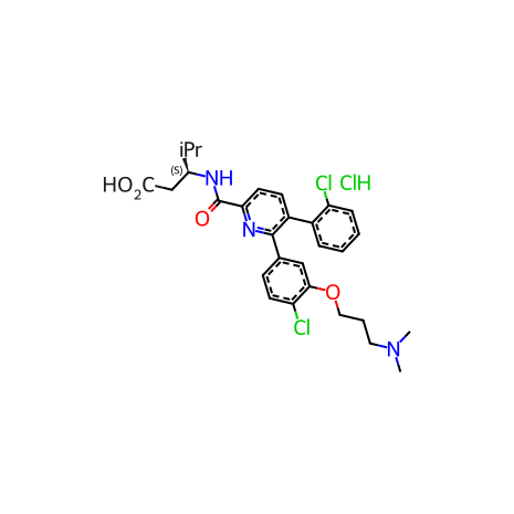 CC(C)[C@H](CC(=O)O)NC(=O)c1ccc(-c2ccccc2Cl)c(-c2ccc(Cl)c(OCCCN(C)C)c2)n1.Cl